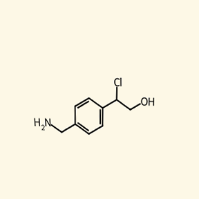 NCc1ccc(C(Cl)CO)cc1